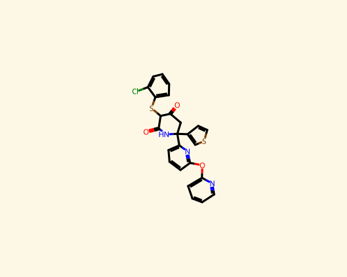 O=C1CC(c2ccsc2)(c2cccc(Oc3ccccn3)n2)NC(=O)C1Sc1ccccc1Cl